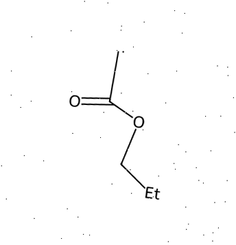 [CH2]C(=O)OCCC